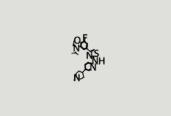 CC(C)N1CCOc2c(F)cc(-c3csc(Nc4ccc(C5CCN(C)CC5)cn4)n3)cc21